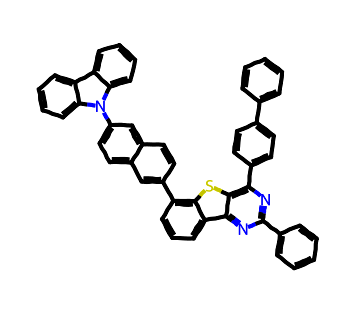 c1ccc(-c2ccc(-c3nc(-c4ccccc4)nc4c3sc3c(-c5ccc6cc(-n7c8ccccc8c8ccccc87)ccc6c5)cccc34)cc2)cc1